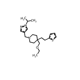 CCOCC1(CCc2cccs2)CCN(Cc2cnn(C(C)C)c2)CC1